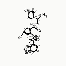 CC(CNC(=O)c1ccc(I)cc1NS(=O)(=O)c1cccc2nsnc12)c1ccc(Cl)cc1